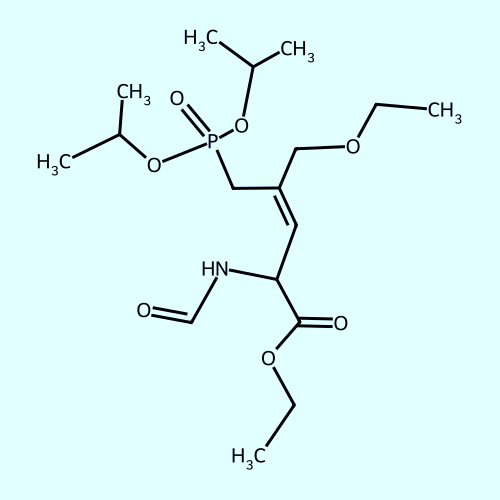 CCOCC(=CC(NC=O)C(=O)OCC)CP(=O)(OC(C)C)OC(C)C